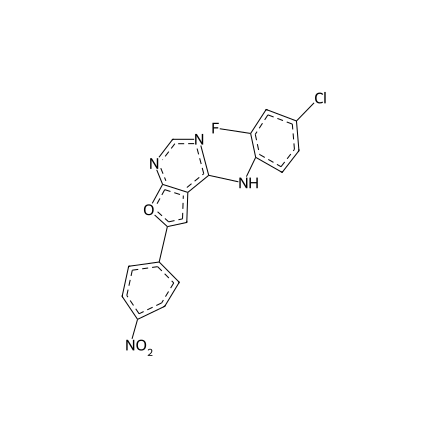 O=[N+]([O-])c1ccc(-c2cc3c(Nc4ccc(Cl)cc4F)ncnc3o2)cc1